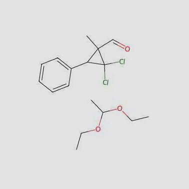 CC1(C=O)C(c2ccccc2)C1(Cl)Cl.CCOC(C)OCC